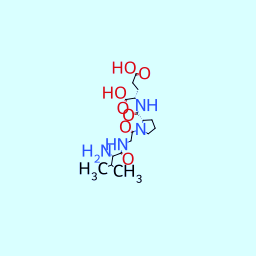 CC(C)[C@H](N)C(=O)NCC(=O)N1CCC[C@H]1C(=O)N[C@@H](CCC(=O)O)C(=O)O